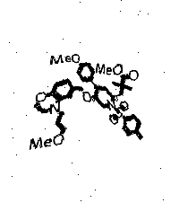 COCCCN1CCOc2ccc(CO[C@H]3CN(S(=O)(=O)c4ccc(C)cc4)[C@@H](CC(C)(C)C(=O)OC)C[C@@H]3c3ccc(OC)cc3)cc21